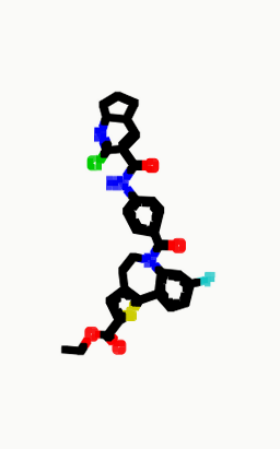 CCOC(=O)c1cc2c(s1)-c1ccc(F)cc1N(C(=O)c1ccc(NC(=O)C3=CC4CCCC4N=C3Cl)cc1)CC2